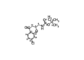 CC(C)(C)OC(=O)NCC1CC(=O)c2ccc(Cl)cc2O1